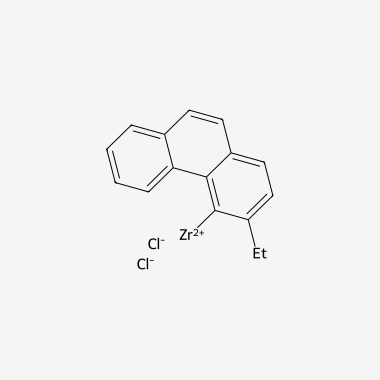 CCc1ccc2ccc3ccccc3c2[c]1[Zr+2].[Cl-].[Cl-]